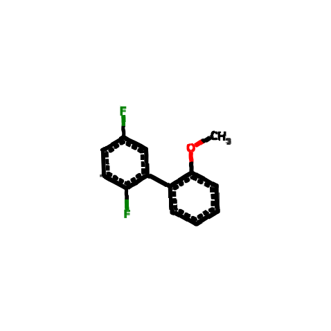 COc1ccccc1-c1cc(F)c[c]c1F